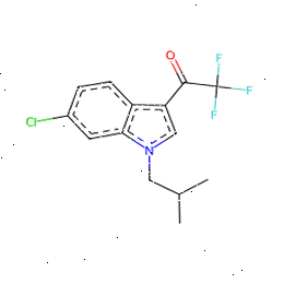 CC(C)Cn1cc(C(=O)C(F)(F)F)c2ccc(Cl)cc21